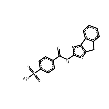 NS(=O)(=O)c1ccc(C(=O)Nc2nc3c(s2)Cc2ccccc2-3)cc1